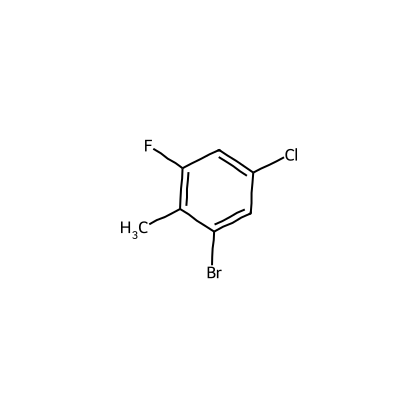 Cc1c(F)cc(Cl)cc1Br